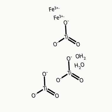 O.O.[Fe+3].[Fe+3].[O]=[Ti]([O-])[O-].[O]=[Ti]([O-])[O-].[O]=[Ti]([O-])[O-]